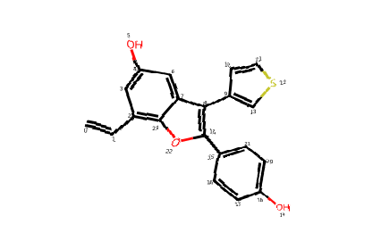 C=Cc1cc(O)cc2c(-c3ccsc3)c(-c3ccc(O)cc3)oc12